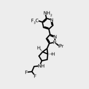 CC(C)n1nc(-c2cnc(N)c(C(F)(F)F)c2)cc1C1[C@H]2CC(NCC(F)F)C[C@@H]12